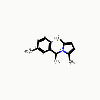 Cc1ccc(C)n1C(C)c1cccc(C(=O)O)c1